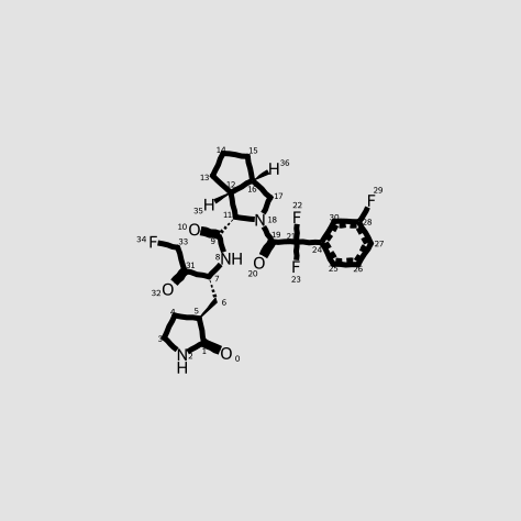 O=C1NCC[C@H]1C[C@@H](NC(=O)[C@@H]1[C@@H]2CCC[C@@H]2CN1C(=O)C(F)(F)c1cccc(F)c1)C(=O)CF